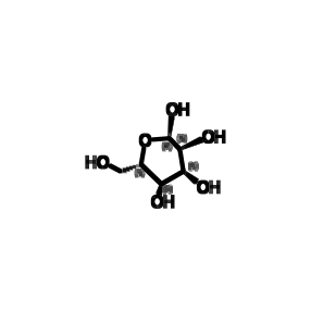 OC[C@@H]1O[C@@H](O)[C@@H](O)[C@@H](O)[C@H]1O